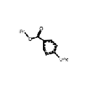 CC(=O)Oc1ccc(C(=O)OC(C)C)cc1